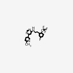 Cc1ccc(-c2cc(NCCc3cc(F)ccc3OC(F)(F)F)ncn2)cn1